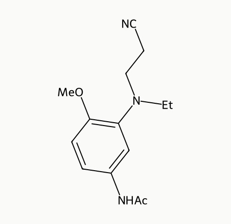 CCN(CCC#N)c1cc(NC(C)=O)ccc1OC